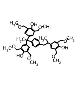 COCc1cc(C(C)Cc2ccc(C(C)(c3cc(COC)c(O)c(COC)c3)c3cc(COC)c(O)c(COC)c3)cc2)cc(COC)c1O